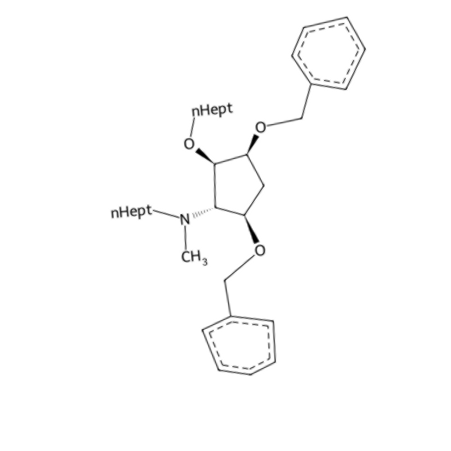 CCCCCCCO[C@@H]1[C@@H](N(C)CCCCCCC)[C@H](OCc2ccccc2)C[C@@H]1OCc1ccccc1